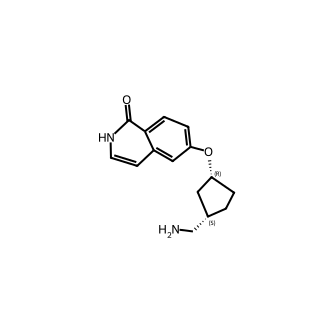 NC[C@H]1CC[C@@H](Oc2ccc3c(=O)[nH]ccc3c2)C1